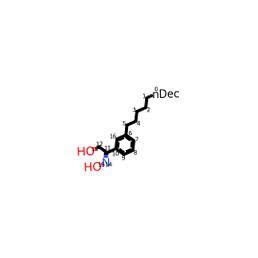 CCCCCCCCCCCCCCCc1cccc(C(CO)=NO)c1